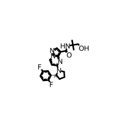 CC(C)(CO)NC(=O)c1cnn2ccc(N3CCC[C@@H]3c3cc(F)ccc3F)nc12